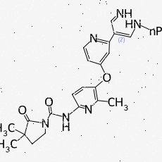 CCCN/C=C(\C=N)c1cc(Oc2ccc(NC(=O)N3CCC(C)(C)C3=O)nc2C)ccn1